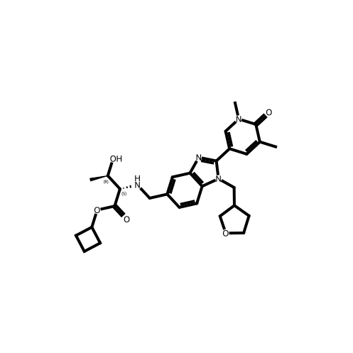 Cc1cc(-c2nc3cc(CN[C@H](C(=O)OC4CCC4)[C@@H](C)O)ccc3n2CC2CCOC2)cn(C)c1=O